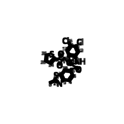 Cc1nc2ccc(S(=O)(=O)Nc3cc(Cl)c(Cl)cc3NS(=O)(=O)c3cccs3)cc2s1